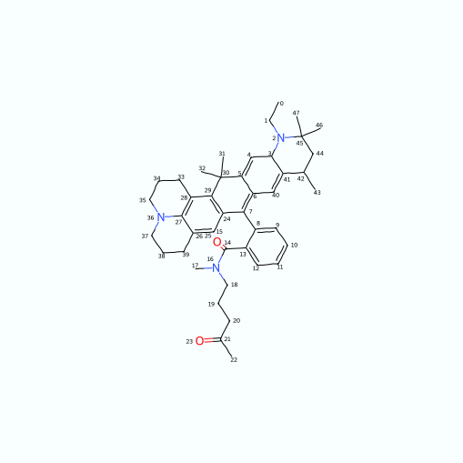 CCN1C2C=C3C(=C(c4ccccc4C(=O)N(C)CCCC(C)=O)c4cc5c6c(c4C3(C)C)CCCN6CCC5)C=C2C(C)CC1(C)C